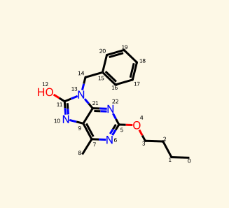 CCCCOc1nc(C)c2nc(O)n(Cc3ccccc3)c2n1